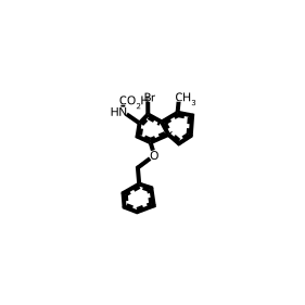 Cc1cccc2c(OCc3ccccc3)cc(NC(=O)O)c(Br)c12